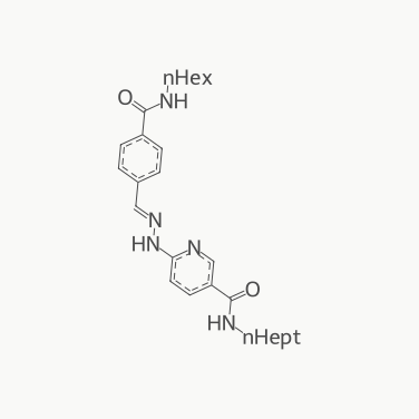 CCCCCCCNC(=O)c1ccc(NN=Cc2ccc(C(=O)NCCCCCC)cc2)nc1